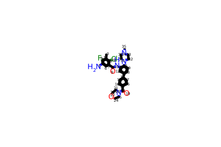 Cc1c(F)c(N)cc(C(=O)Nc2cc(-c3ccc(C(=O)N4CCOCC4)cc3)ccc2N2CCN(C)CC2)c1Cl